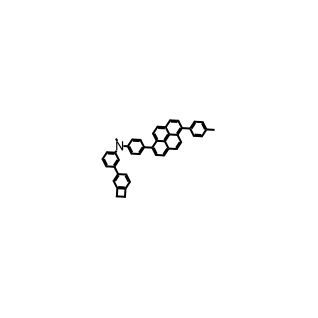 Cc1ccc(-c2ccc3ccc4c(-c5ccc(N(C)c6cccc(-c7ccc8c(c7)CC8)c6)cc5)ccc5ccc2c3c54)cc1